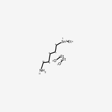 CC[O-].CC[O-].C[CH2][Sn+2][CH2]CCCCN